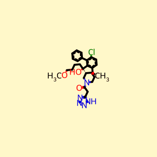 CCc1ccc(Cl)c(-c2ccccc2)c1C(O)(CCCCOC)[C@@H]1CCCN(C(=O)Cc2nnn[nH]2)C1